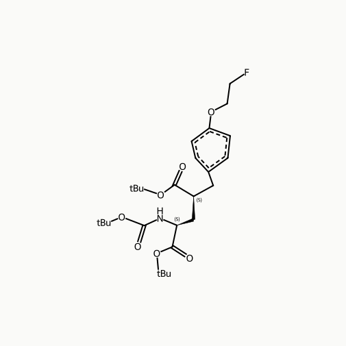 CC(C)(C)OC(=O)N[C@@H](C[C@H](Cc1ccc(OCCF)cc1)C(=O)OC(C)(C)C)C(=O)OC(C)(C)C